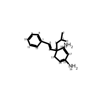 CC(C)CC1(C=Cc2ccccc2)CC=C(N)C=C1N